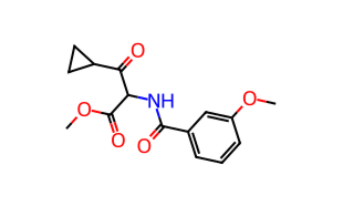 COC(=O)C(NC(=O)c1cccc(OC)c1)C(=O)C1CC1